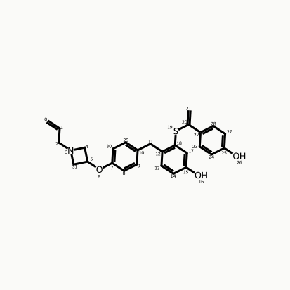 C=CCN1CC(Oc2ccc(Cc3ccc(O)cc3SC(=C)c3ccc(O)cc3)cc2)C1